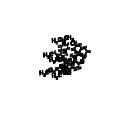 CC/C=C/[C@](CN1CCN(C(C)C)CC1)(OC)[C@@H]1CC[C@H]1CN1C[C@@]2(CCCc3cc(Cl)ccc32)COc2ccc(C(=O)NS(=O)(=O)[C@@H](C)CCOC)nc21